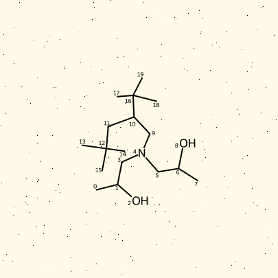 CC(O)CN(CC(C)O)CC(CC(C)(C)C)C(C)(C)C